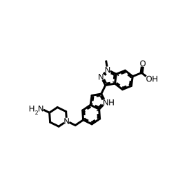 Cn1nc(-c2cc3cc(CN4CCC(N)CC4)ccc3[nH]2)c2ccc(C(=O)O)cc21